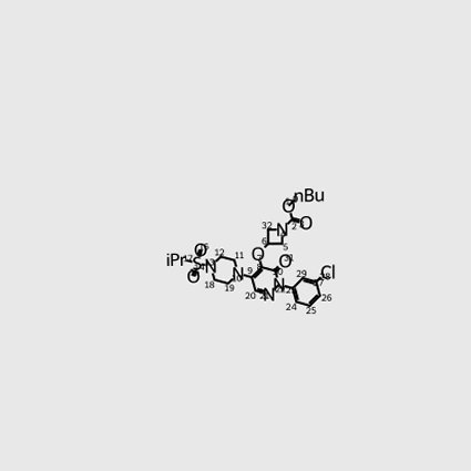 CCCCOC(=O)N1CC(Oc2c(N3CCN(S(=O)(=O)C(C)C)CC3)cnn(-c3cccc(Cl)c3)c2=O)C1